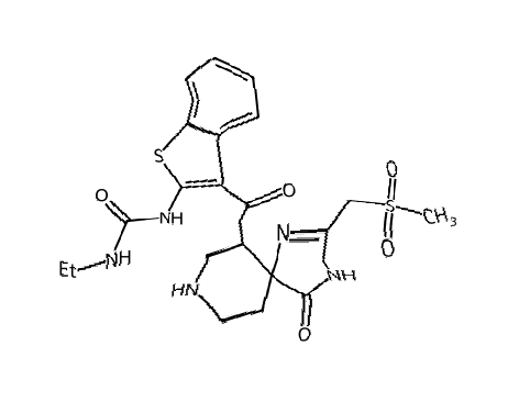 CCNC(=O)Nc1sc2ccccc2c1C(=O)C1CNCCC12N=C(CS(C)(=O)=O)NC2=O